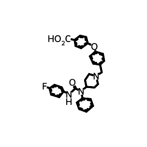 O=C(O)c1ccc(Oc2ccc(CN3CCC(N(C(=O)Nc4ccc(F)cc4)c4ccccc4)CC3)cc2)cc1